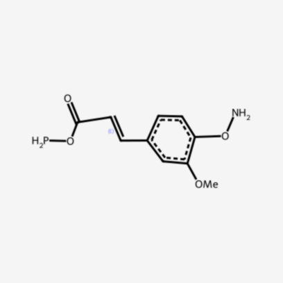 COc1cc(/C=C/C(=O)OP)ccc1ON